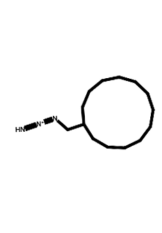 N=[N+]=NCC1CCCCCCCCCCCC1